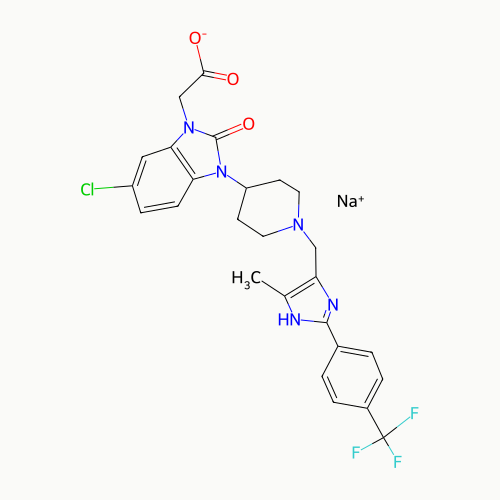 Cc1[nH]c(-c2ccc(C(F)(F)F)cc2)nc1CN1CCC(n2c(=O)n(CC(=O)[O-])c3cc(Cl)ccc32)CC1.[Na+]